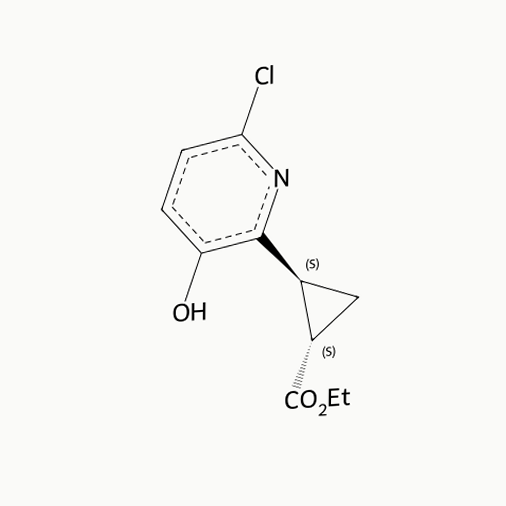 CCOC(=O)[C@H]1C[C@@H]1c1nc(Cl)ccc1O